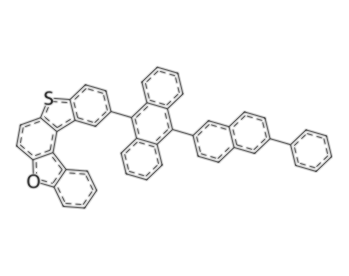 c1ccc(-c2ccc3cc(-c4c5ccccc5c(-c5ccc6sc7ccc8oc9ccccc9c8c7c6c5)c5ccccc45)ccc3c2)cc1